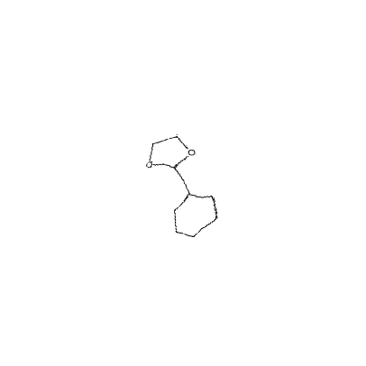 [CH]1COC(C2CCCCC2)O1